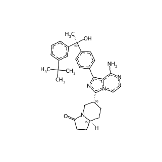 CC(C)(C)c1cccc([C@@](C)(O)c2ccc(-c3nc([C@@H]4CC[C@H]5CCC(=O)N5C4)n4ccnc(N)c34)cc2)c1